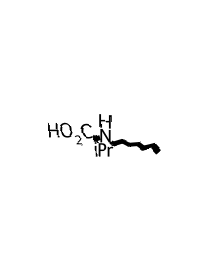 C=CCCCCCN[C@H](C(=O)O)C(C)C